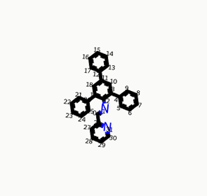 C(=Nc1c(-c2ccccc2)cc(-c2ccccc2)cc1-c1ccccc1)c1ccccn1